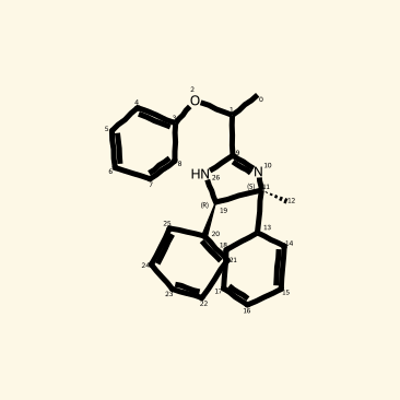 CC(Oc1ccccc1)C1=N[C@@](C)(C2C=CC=CC2)[C@@H](c2ccccc2)N1